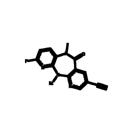 C#Cc1cnc2c(c1)C(=O)N(C)c1ccc(F)nc1N2CC